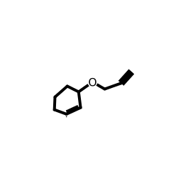 C#CCOC1C=[C]CCC1